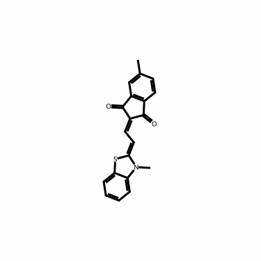 Cc1ccc2c(c1)C(=O)/C(=C/C=C1\Sc3ccccc3N1C)C2=O